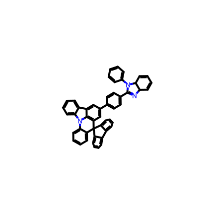 C1=CC2N=C(c3ccc(-c4cc5c6c(c4)c4ccccc4n6-c4ccccc4C54c5ccccc5-c5ccccc54)cc3)N(c3ccccc3)C2C=C1